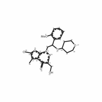 COc1ccccc1C(Cn1nc(CO)c(=O)c2c(C)c(Cl)sc21)OC1CCOCC1